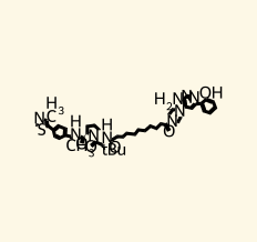 Cc1ncsc1-c1ccc([C@H](C)NC(=O)[C@@H]2CCCN2C(=O)[C@@H](NC(=O)CCCCCCCCCC(=O)N2CCN(c3cc(-c4ccccc4O)nnc3N)CC2)C(C)(C)C)cc1